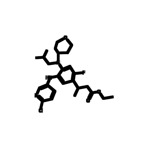 CCOC(=O)CC(C)c1cc(Nc2ccc(Cl)nc2)c(N(CC(C)C)C2CCOCC2)cc1F